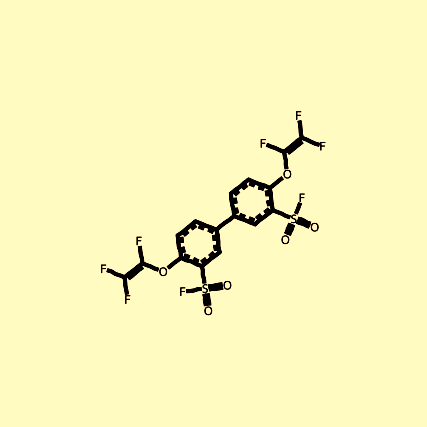 O=S(=O)(F)c1cc(-c2ccc(OC(F)=C(F)F)c(S(=O)(=O)F)c2)ccc1OC(F)=C(F)F